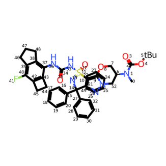 CN(C(=O)OC(C)(C)C)[C@@H]1COc2c([S@@](=O)(=NC(c3ccccc3)(c3ccccc3)c3ccccc3)NC(=O)Nc3c4c(c(F)c5c3CC5)CCC4)cnn2C1